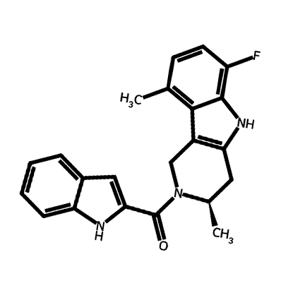 Cc1ccc(F)c2[nH]c3c(c12)CN(C(=O)c1cc2ccccc2[nH]1)[C@H](C)C3